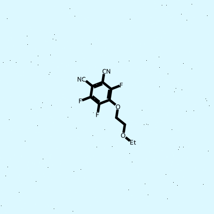 CCOCCOc1c(F)c(F)c(C#N)c(C#N)c1F